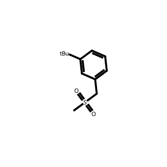 CC(C)(C)c1cccc(CS(C)(=O)=O)c1